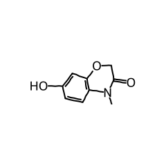 CN1C(=O)COc2cc(O)ccc21